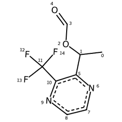 CC(OC=O)c1nccnc1C(F)(F)F